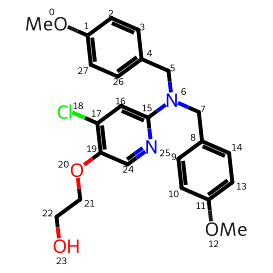 COc1ccc(CN(Cc2ccc(OC)cc2)c2cc(Cl)c(OCCO)cn2)cc1